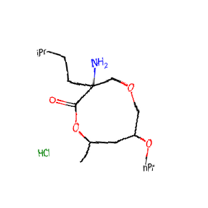 CCCOC1COCC(N)(CCC(C)C)C(=O)OC(C)C1.Cl